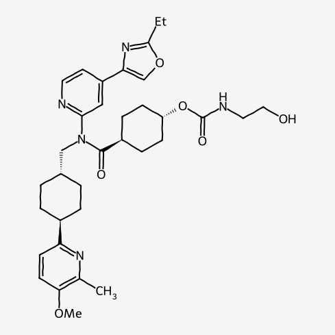 CCc1nc(-c2ccnc(N(C[C@H]3CC[C@H](c4ccc(OC)c(C)n4)CC3)C(=O)[C@H]3CC[C@H](OC(=O)NCCO)CC3)c2)co1